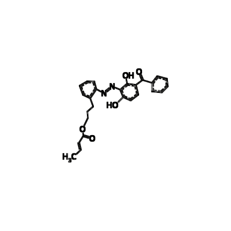 CC=CC(=O)OCCCc1ccccc1N=Nc1c(O)ccc(C(=O)c2ccccc2)c1O